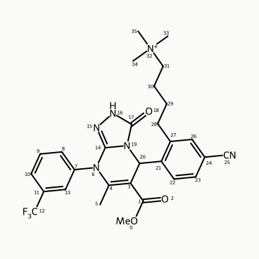 COC(=O)C1=C(C)N(c2cccc(C(F)(F)F)c2)c2n[nH]c(=O)n2C1c1ccc(C#N)cc1CCCC[N+](C)(C)C